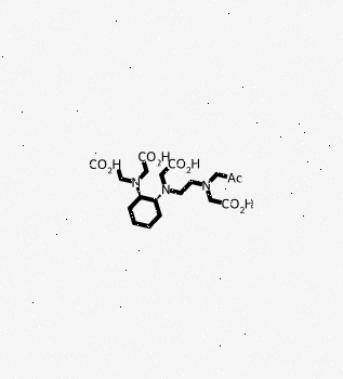 CC(=O)CN(CCN(CC(=O)O)[C@@H]1CCCC[C@H]1N(CC(=O)O)CC(=O)O)CC(=O)O